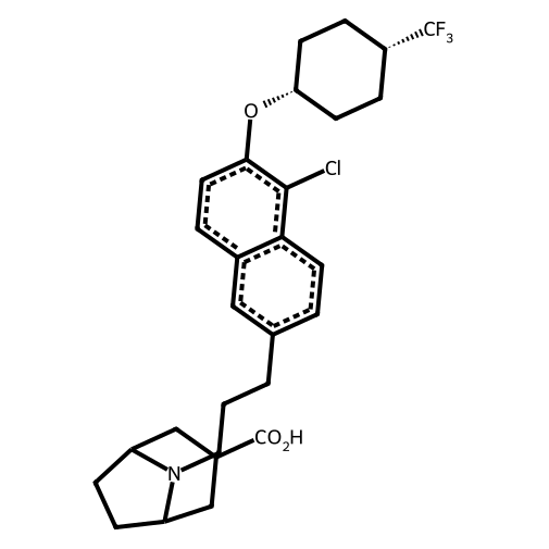 O=C(O)C1CC2CCC(C1)N2CCCc1ccc2c(Cl)c(O[C@H]3CC[C@@H](C(F)(F)F)CC3)ccc2c1